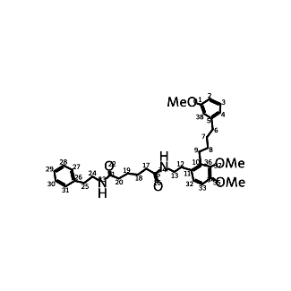 COc1cccc(CCCCc2c(CCNC(=O)CCCCC(=O)NCCc3ccccc3)ccc(OC)c2OC)c1